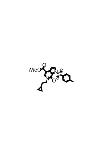 COC(=O)c1cn(CCC2CC2)c(=O)c2c1ccn2S(=O)(=O)c1ccc(C)cc1